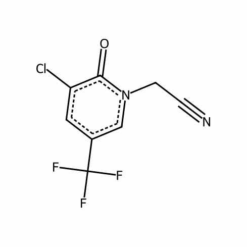 N#CCn1cc(C(F)(F)F)cc(Cl)c1=O